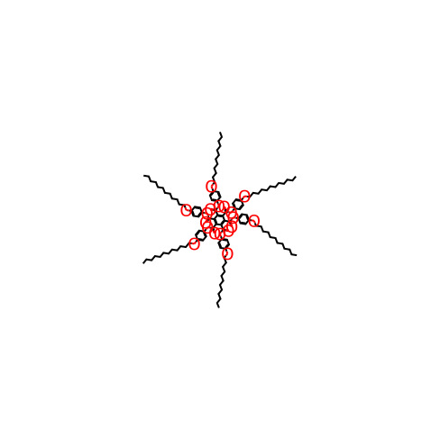 CCCCCCCCCCCCOc1ccc(OC(=O)c2c(C(=O)Oc3ccc(OCCCCCCCCCCCC)cc3)c(C(=O)Oc3ccc(OCCCCCCCCCCCC)cc3)c(C(=O)Oc3ccc(OCCCCCCCCCCCC)cc3)c(C(=O)Oc3ccc(OCCCCCCCCCCCC)cc3)c2C(=O)Oc2ccc(OCCCCCCCCCCCC)cc2)cc1